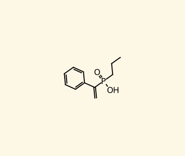 C=C(c1ccccc1)P(=O)(O)CCC